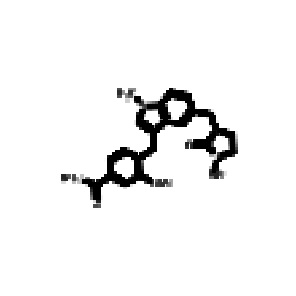 CCCN1CCC(Cc2ccc3c(c2)c(Cc2ccc(C(=O)OC)cc2OC)cn3C)C1=O